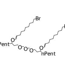 CCCCCC(CCOCOCOCCC(CCCCC)OC=CCCCCCCCCBr)OC=CCCCCCCCCBr